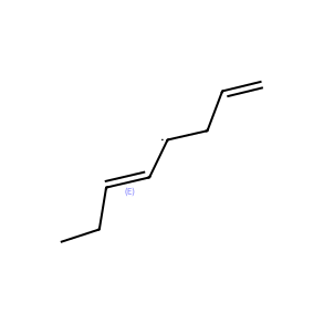 C=CC[CH]/C=C/CC